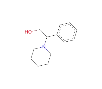 OCC(c1ccccc1)N1CCCCC1